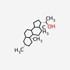 CC(O)[C@H]1CCC2C3CCC4C[C@@H](C)CC[C@]4(C)C3CC[C@@]21C